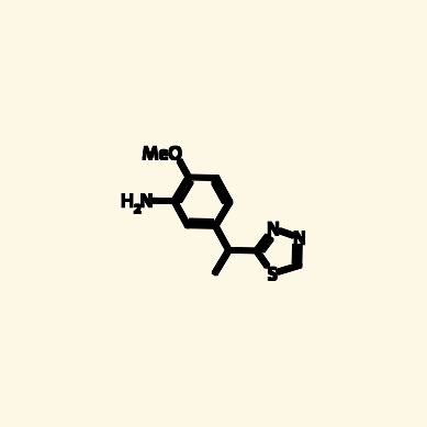 COc1ccc(C(C)c2nncs2)cc1N